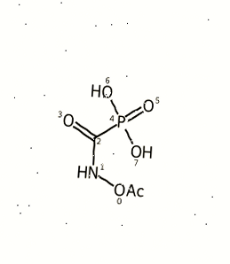 CC(=O)ONC(=O)P(=O)(O)O